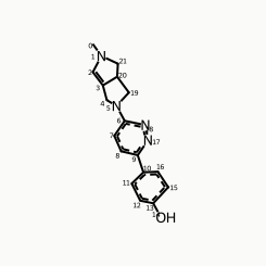 CN1C=C2CN(c3ccc(-c4ccc(O)cc4)nn3)CC2C1